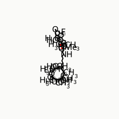 CC[C@H]1OC(=O)[C@H](C)[C@@H](O)[C@H](C)[C@@H](O)[C@](C)(O)C[C@@H](C)CN(CCCCCCNCCC(=O)O[C@]2(C(=O)OC)[C@H](C)CC3C4C[C@H](F)C5=CC(=O)C=C[C@]5(C)[C@@]4(F)[C@@H](O)C[C@@]32C)[C@H](C)[C@@H](O)[C@]1(C)O